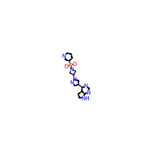 O=S(=O)(c1cccnc1)N1C[C](n2cc(-c3ncnc4[nH]ccc34)cn2)C1